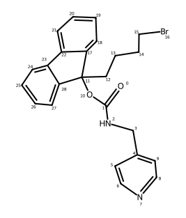 O=C(NCc1ccncc1)OC1(CCCCBr)c2ccccc2-c2ccccc21